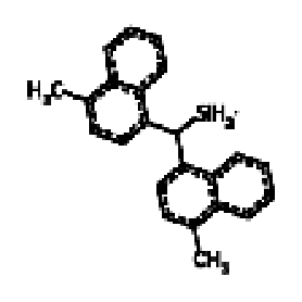 Cc1ccc(C([SiH2])c2ccc(C)c3ccccc23)c2ccccc12